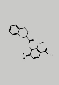 COC1=C(C(=O)O)C=CC(=S(=O)=O)C1OC(=O)C1CCc2ccccc2O1